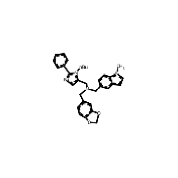 CCCCn1c(CN(Cc2ccc3c(c2)OCO3)Cc2ccc3c(ccn3C)c2)cnc1-c1ccccc1